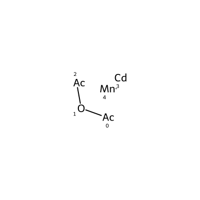 CC(=O)OC(C)=O.[Cd].[Mn]